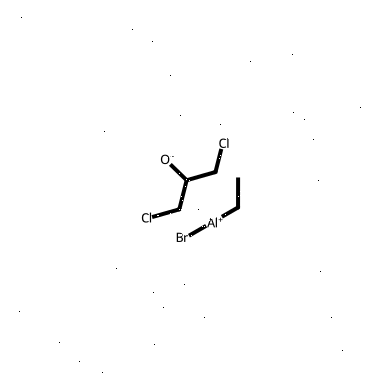 C[CH2][Al+][Br].[O-]C(CCl)CCl